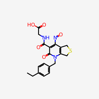 CCc1ccc(Cn2c3c(c(N=O)c(C(=O)NCC(=O)O)c2=O)CSC3)cc1